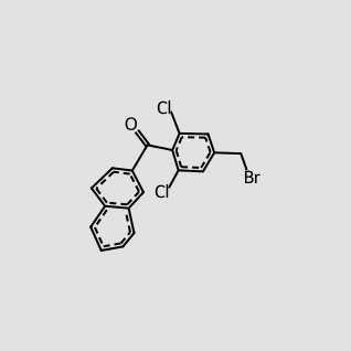 O=C(c1ccc2ccccc2c1)c1c(Cl)cc(CBr)cc1Cl